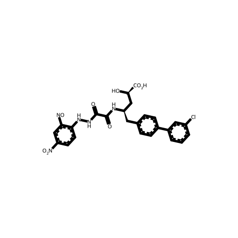 O=Nc1cc([N+](=O)[O-])ccc1NNC(=O)C(=O)N[C@H](Cc1ccc(-c2cccc(Cl)c2)cc1)C[C@@H](O)C(=O)O